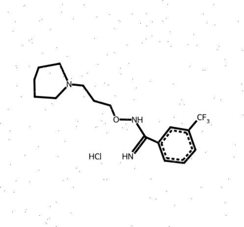 Cl.N=C(NOCCCN1CCCCC1)c1cccc(C(F)(F)F)c1